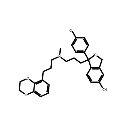 CN(CCCc1cccc2c1OCCO2)CCCC1(c2ccc(Cl)cc2)OCc2cc(C#N)ccc21